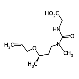 C=CCO[C@H](C)CCN(C)C(=O)NCC(=O)O